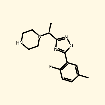 Cc1ccc(F)c(-c2nc([C@H](C)N3CCNCC3)no2)c1